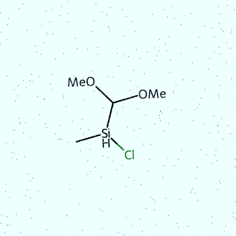 COC(OC)[SiH](C)Cl